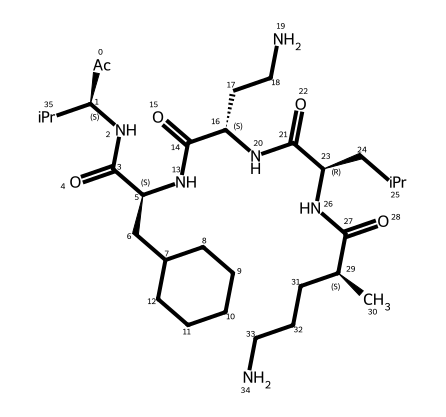 CC(=O)[C@@H](NC(=O)[C@H](CC1CCCCC1)NC(=O)[C@H](CCN)NC(=O)[C@@H](CC(C)C)NC(=O)[C@@H](C)CCCN)C(C)C